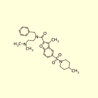 Cc1c(C(=O)N(CCN(C)C)Cc2ccccc2)oc2ccc(S(=O)(=O)N3CCC(C)CC3)cc12